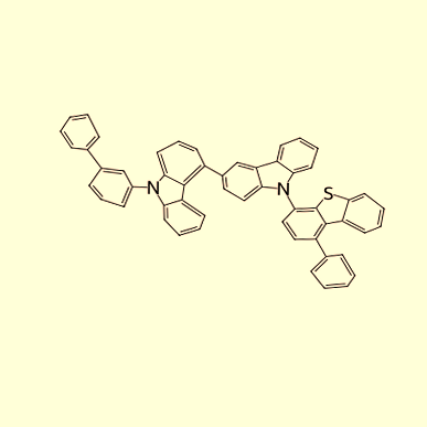 c1ccc(-c2cccc(-n3c4ccccc4c4c(-c5ccc6c(c5)c5ccccc5n6-c5ccc(-c6ccccc6)c6c5sc5ccccc56)cccc43)c2)cc1